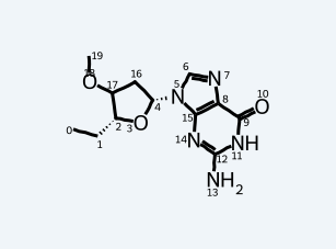 CC[C@H]1O[C@@H](n2cnc3c(=O)[nH]c(N)nc32)CC1OC